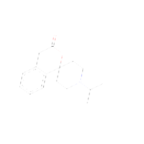 CC(C)N1CCC2(CC1)OC(=O)Cc1ccccc12